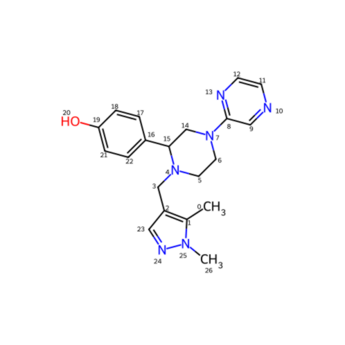 Cc1c(CN2CCN(c3cnccn3)CC2c2ccc(O)cc2)cnn1C